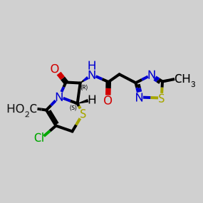 Cc1nc(CC(=O)N[C@@H]2C(=O)N3C(C(=O)O)=C(Cl)CS[C@@H]23)ns1